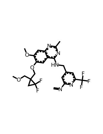 C=Nc1cc(CNc2nc(C)nc3cc(OC)c(OCC4(COC)CC4(F)F)cc23)cc(C(F)(F)F)n1